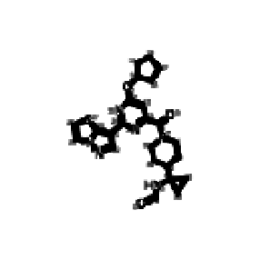 O=CNC1(C2CCN(C(=O)c3cc(OC4CCCC4)nc(-c4cnn5ccsc45)n3)CC2)CC1